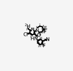 [2H]Cc1nc(N2CCCC(F)(F)CC2)c(C(=O)Nc2ccc(F)c(C#N)c2)cc1Cl